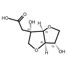 O=C(O)C[C@]1(O)CO[C@@H]2[C@@H](O)CO[C@@H]21